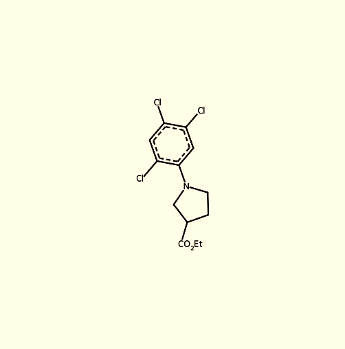 CCOC(=O)C1CCN(c2cc(Cl)c(Cl)cc2Cl)C1